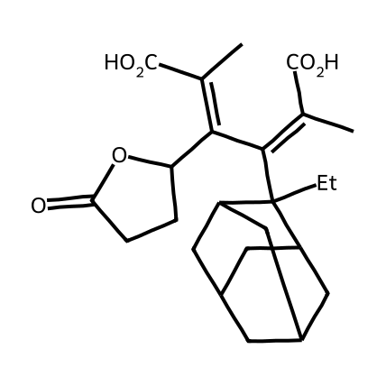 CCC1(C(=C(C)C(=O)O)C(=C(C)C(=O)O)C2CCC(=O)O2)C2CC3CC(C2)CC1C3